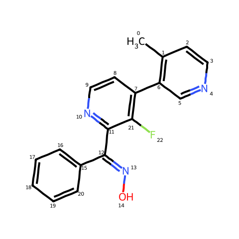 Cc1ccncc1-c1ccnc(C(=NO)c2ccccc2)c1F